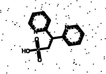 O=S(=O)(O)CC(c1ccccn1)c1ccccn1